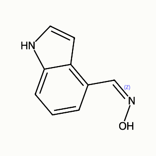 O/N=C\c1cccc2[nH]ccc12